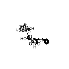 O=c1[nH]c(=O)n([C@H]2C[C@H](O)[C@@H](COP(=O)(O)OP(=O)(O)OP(=O)(O)O)O2)cc1COCc1ccccc1